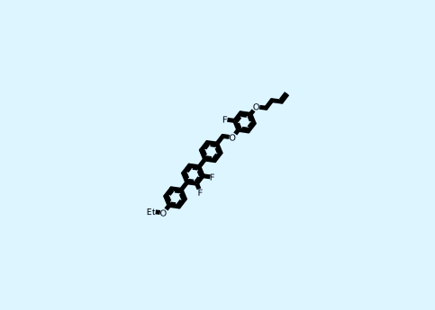 C=CCCOc1ccc(OCc2ccc(-c3ccc(-c4ccc(OCC)cc4)c(F)c3F)cc2)c(F)c1